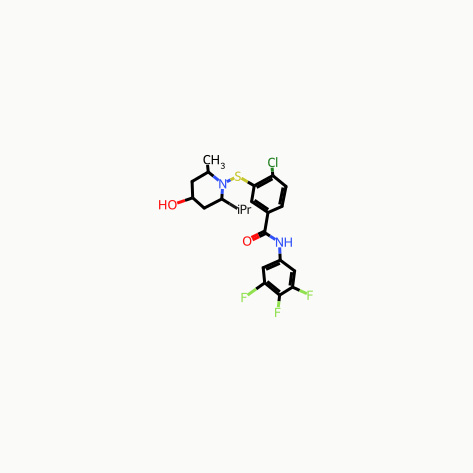 CC(C)C1CC(O)CC(C)N1Sc1cc(C(=O)Nc2cc(F)c(F)c(F)c2)ccc1Cl